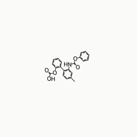 Cc1ccc(-c2ccccc2OC(=O)O)c(NC(=O)Oc2ccccc2)c1